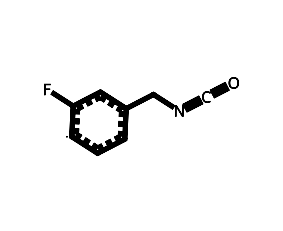 O=C=NCc1cc[c]c(F)c1